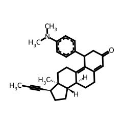 CC#C[C@@H]1CC[C@H]2[C@@H]3CCC4=CC(=O)CC(c5ccc(N(C)C)cc5)C4=C3CC[C@]12C